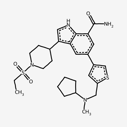 CCS(=O)(=O)N1CCC(c2c[nH]c3c(C(N)=O)cc(-c4csc(CN(C)C5CCCC5)c4)cc23)CC1